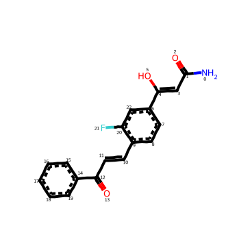 NC(=O)/C=C(\O)c1ccc(/C=C/C(=O)c2ccccc2)c(F)c1